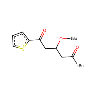 CC(C)(C)OC(CC(=O)c1cccs1)CC(=O)C(C)(C)C